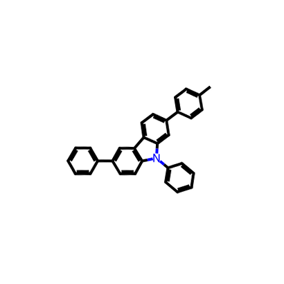 Cc1ccc(-c2ccc3c4cc(-c5ccccc5)ccc4n(-c4ccccc4)c3c2)cc1